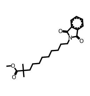 COC(=O)C(C)(C)CCCCCCCCCN1C(=O)c2ccccc2C1=O